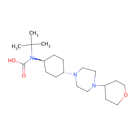 CC(C)(C)N(C(=O)O)[C@H]1CC[C@H](N2CCN(C3CCOCC3)CC2)CC1